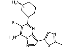 Cc1ncc(-c2cnn3c(N)c(Br)c(C4CCC[C@H](N)C4)nc23)s1